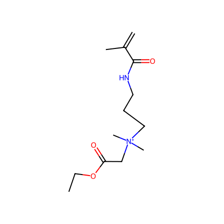 C=C(C)C(=O)NCCC[N+](C)(C)CC(=O)OCC